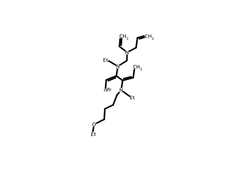 C=CCN(C=C)CN(CC)C(=C/CCC)/C(=C\C)N(CC)CCCCOCC